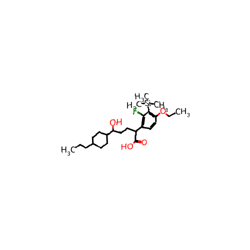 CCCC1CCC(C(O)CCC(C(=O)O)c2ccc(OCC)c([Si](C)(C)C)c2F)CC1